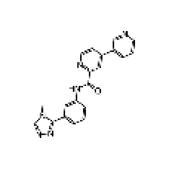 Cn1cnnc1-c1cccc(NC(=O)c2cc(-c3cccnc3)ccn2)c1